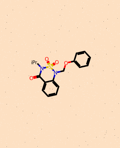 CC(C)N1C(=O)c2ccccc2N(COc2ccccc2)S1(=O)=O